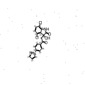 O=C(C[C@]1(O)C(=O)Nc2c(Cl)ccc(Cl)c21)c1ccc(-n2cccn2)cc1